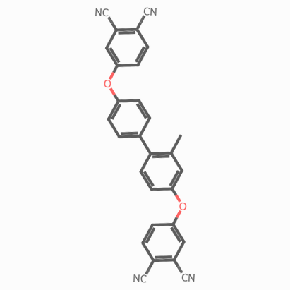 Cc1cc(Oc2ccc(C#N)c(C#N)c2)ccc1-c1ccc(Oc2ccc(C#N)c(C#N)c2)cc1